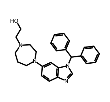 OCCN1CCCN(c2ccc3ncn(C(c4ccccc4)c4ccccc4)c3c2)CC1